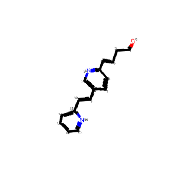 O=CCC=Cc1ccc(C=Cc2ccccn2)cn1